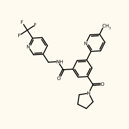 Cc1ccc(-c2cc(C(=O)NCc3ccc(C(F)(F)F)nc3)cc(C(=O)N3CCCC3)c2)nc1